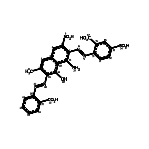 Cc1cc2cc(S(=O)(=O)O)c(N=Nc3ccc(S(=O)(=O)O)cc3C(=O)O)c(N)c2c(O)c1N=Nc1ccccc1C(=O)O